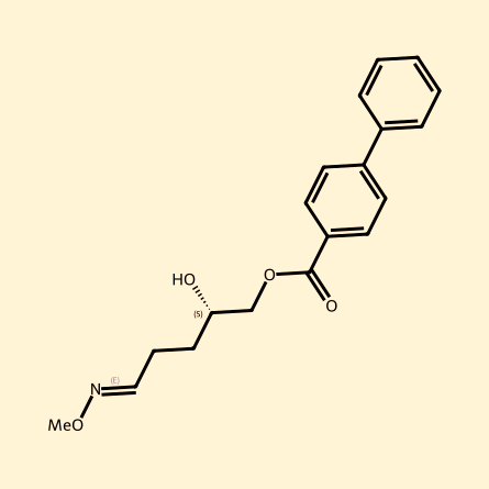 CO/N=C/CC[C@H](O)COC(=O)c1ccc(-c2ccccc2)cc1